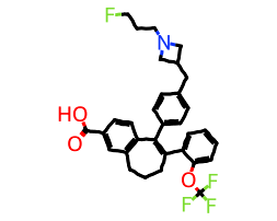 O=C(O)c1ccc2c(c1)CCCC(c1ccccc1OC(F)(F)F)=C2c1ccc(CC2CN(CCCF)C2)cc1